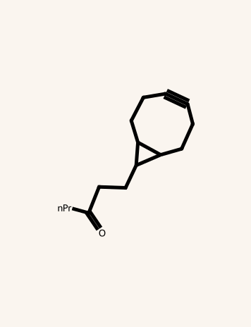 CCCC(=O)CCC1C2CCC#CCCC21